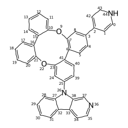 C1=CC(c2ccc3c(c2)Oc2ccccc2-c2ccccc2Oc2cc(-n4c5ccccc5c5ccncc54)ccc2-3)=CCN1